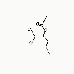 CCCCOC(C)=O.ClCCl